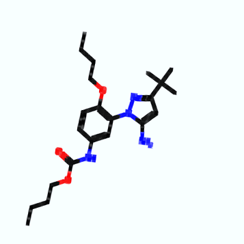 CCCCOC(=O)Nc1ccc(OCCCC)c(-n2nc(C(C)(C)C)cc2N)c1